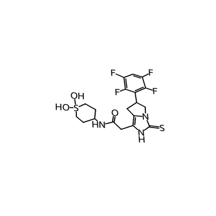 O=C(Cc1[nH]c(=S)n2c1CC(c1c(F)c(F)cc(F)c1F)C2)NC1CCS(O)(O)CC1